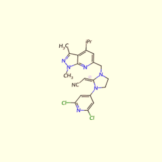 Cc1nn(C)c2nc(CN3CCN(c4cc(Cl)nc(Cl)c4)/C3=C\C#N)cc(C(C)C)c12